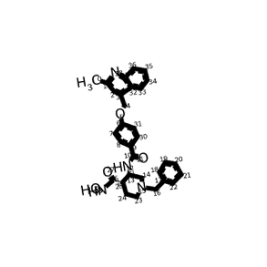 Cc1cc(COc2ccc(C(=O)N[C@@H]3CN(Cc4ccccc4)CC[C@@H]3C(=O)NO)cc2)c2ccccc2n1